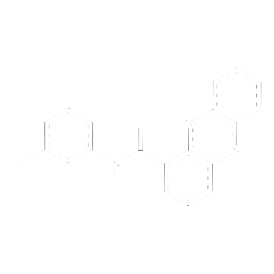 O=C(Nc1cccc(Br)c1)c1cccc2nc3ccccc3nc12